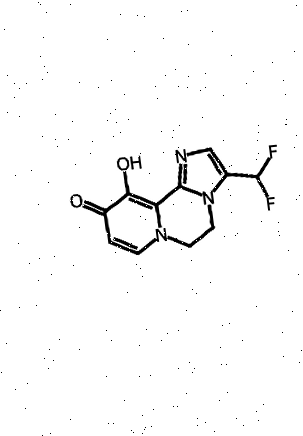 O=c1ccn2c(c1O)-c1ncc(C(F)F)n1CC2